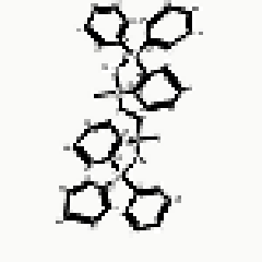 C[Si](C)(CC[Si](C)(C)O[Si](c1ccccc1)(c1ccccc1)c1ccccc1)O[Si](c1ccccc1)(c1ccccc1)c1ccccc1